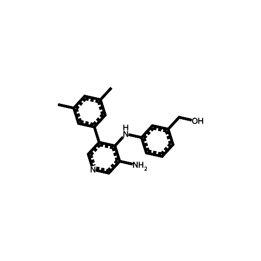 Cc1cc(C)cc(-c2cncc(N)c2Nc2cccc(CO)c2)c1